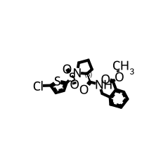 COC(=O)c1ccccc1CNC(=O)[C@@H]1CCCN1S(=O)(=O)c1ccc(Cl)s1